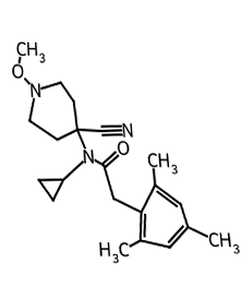 CON1CCC(C#N)(N(C(=O)Cc2c(C)cc(C)cc2C)C2CC2)CC1